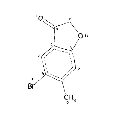 Cc1cc2c(cc1Br)C(=O)CO2